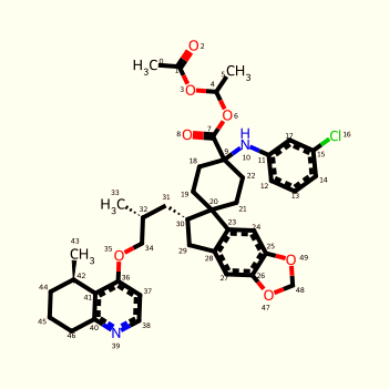 CC(=O)OC(C)OC(=O)C1(Nc2cccc(Cl)c2)CCC2(CC1)c1cc3c(cc1C[C@@H]2C[C@@H](C)COc1ccnc2c1[C@H](C)CCC2)OCO3